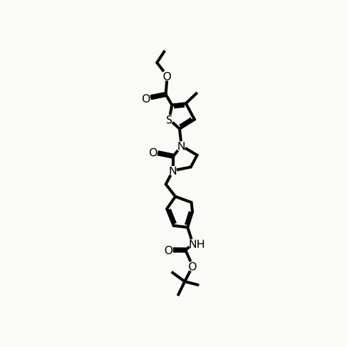 CCOC(=O)c1sc(N2CCN(CC3C=CC(NC(=O)OC(C)(C)C)=CC3)C2=O)cc1C